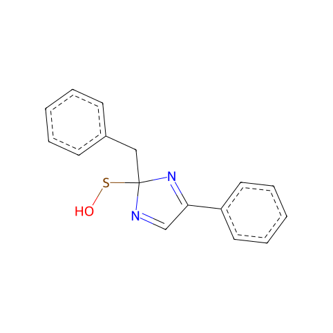 OSC1(Cc2ccccc2)N=CC(c2ccccc2)=N1